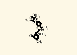 CCC(CC)(C(=O)O)S(=O)(=O)c1ccc(C(C)NC(=O)c2cc3c(Cl)cc(C)cc3n2C)cc1